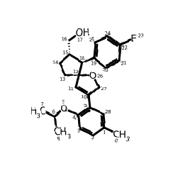 Cc1ccc(OC(C)C)c(C2=C[C@@]3(CC[C@H](CO)[C@H]3c3ccc(F)cc3)OC2)c1